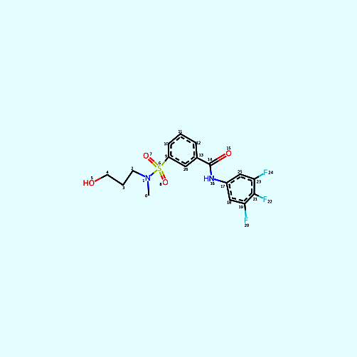 CN(CCCO)S(=O)(=O)c1cccc(C(=O)Nc2cc(F)c(F)c(F)c2)c1